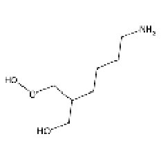 NCCCCC(CO)COO